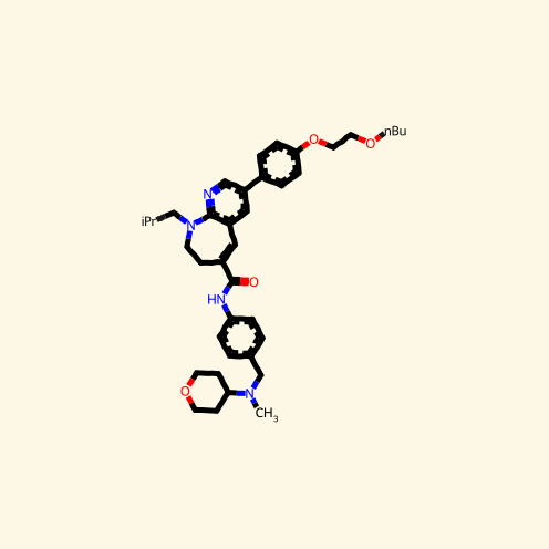 CCCCOCCOc1ccc(-c2cnc3c(c2)C=C(C(=O)Nc2ccc(CN(C)C4CCOCC4)cc2)CCN3CC(C)C)cc1